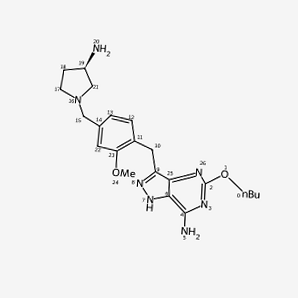 CCCCOc1nc(N)c2[nH]nc(Cc3ccc(CN4CC[C@@H](N)C4)cc3OC)c2n1